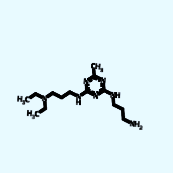 CCN(CC)CCCNc1nc(C)nc(NCCCN)n1